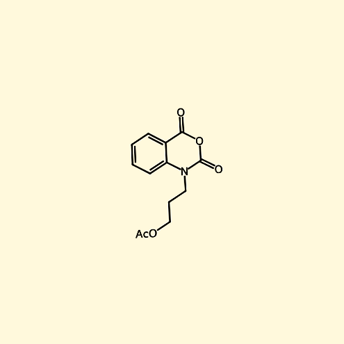 CC(=O)OCCCn1c(=O)oc(=O)c2ccccc21